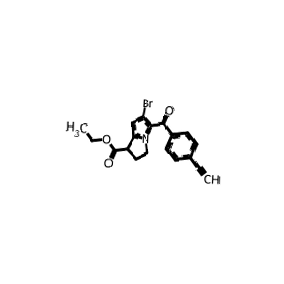 C#Cc1ccc(C(=O)c2c(Br)cc3n2CCC3C(=O)OCC)cc1